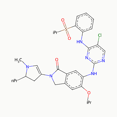 CCCC1CC(N2Cc3cc(OC(C)C)c(Nc4ncc(Cl)c(Nc5ccccc5S(=O)(=O)C(C)C)n4)cc3C2=O)=CN1C